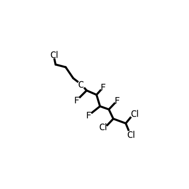 FC(CCCCCl)C(F)C(F)C(F)C(Cl)C(Cl)Cl